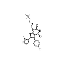 Cn1nccc1-c1nc2c(c(=O)[nH]c(=O)n2COCC[Si](C)(C)C)n1-c1ccc(Cl)cc1